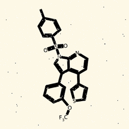 Cc1ccc(S(=O)(=O)n2cc(-c3cccc(OC(F)(F)F)c3)c3c(-c4ccsc4)ccnc32)cc1